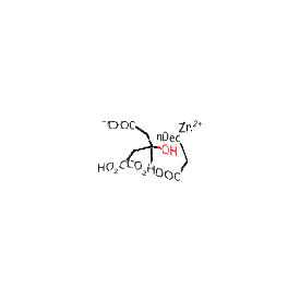 CCCCCCCCCCCC(=O)[O-].O=C([O-])CC(O)(CC(=O)O)C(=O)O.[Zn+2]